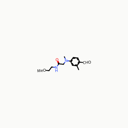 COCCNC(=O)CN(C)c1ccc(C=O)c(C)c1